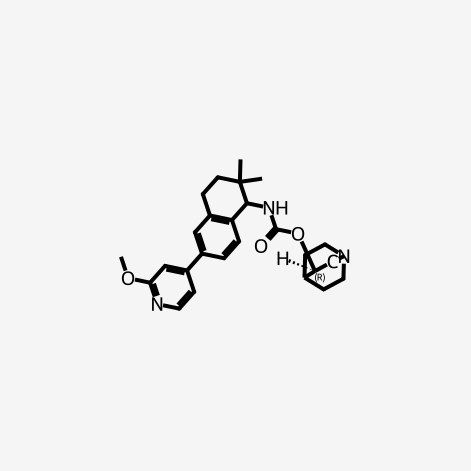 COc1cc(-c2ccc3c(c2)CCC(C)(C)C3NC(=O)O[C@H]2CN3CCC2CC3)ccn1